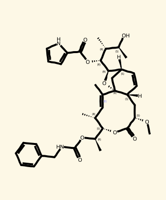 CO[C@H]1C[C@H]2C=C[C@@H]3C[C@]2(O[C@H]3[C@H](OC(=O)c2ccc[nH]2)[C@H](C)[C@H](C)O)/C(C)=C/[C@@H](C)[C@@H]([C@@H](C)OC(=O)NCc2ccccc2)OC1=O